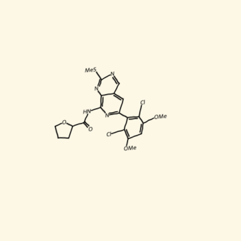 COc1cc(OC)c(Cl)c(-c2cc3cnc(SC)nc3c(NC(=O)C3CCCO3)n2)c1Cl